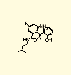 CC(C)CCNC(=O)c1cc(F)cc(N)c1C(=O)c1ccccc1O